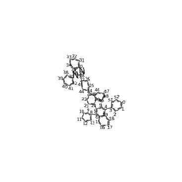 c1ccc(-c2c3c(c(-c4ccccc4)c4ccccc24)-c2ccc(-c4ccc(-c5nc6ccccc6n5-c5ccccc5)cc4)c4cccc-3c24)cc1